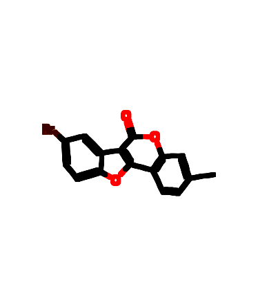 Cc1ccc2c(c1)oc(=O)c1c3cc(Br)ccc3oc21